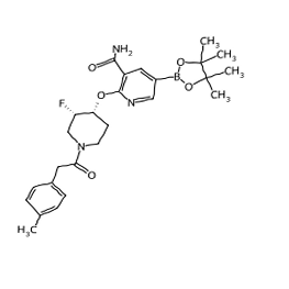 Cc1ccc(CC(=O)N2CC[C@@H](Oc3ncc(B4OC(C)(C)C(C)(C)O4)cc3C(N)=O)[C@@H](F)C2)cc1